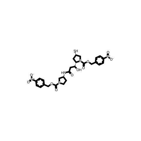 O=C(CC(O)[C@@H]1C[C@H](S)CN1C(=O)OCc1ccc([N+](=O)[O-])cc1)N[C@@H]1CCN(C(=O)OCc2ccc([N+](=O)[O-])cc2)C1